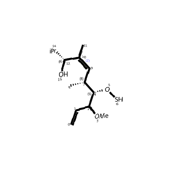 C=CC(OC)[C@@H](OS)[C@H](C)/C=C(/C)[C@H](O)C(C)C